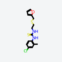 Cc1cc(Cl)ccc1NC(=S)NCCSCc1ccco1